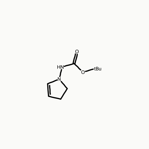 CC(C)(C)OC(=O)NN1C=CCC1